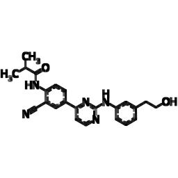 CC(C)C(=O)Nc1ccc(-c2ccnc(Nc3cccc(CCO)c3)n2)cc1C#N